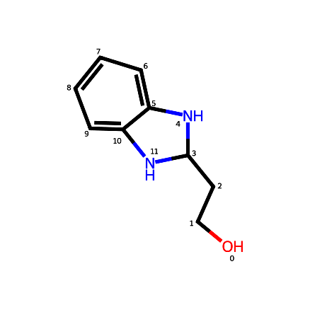 OCCC1Nc2ccccc2N1